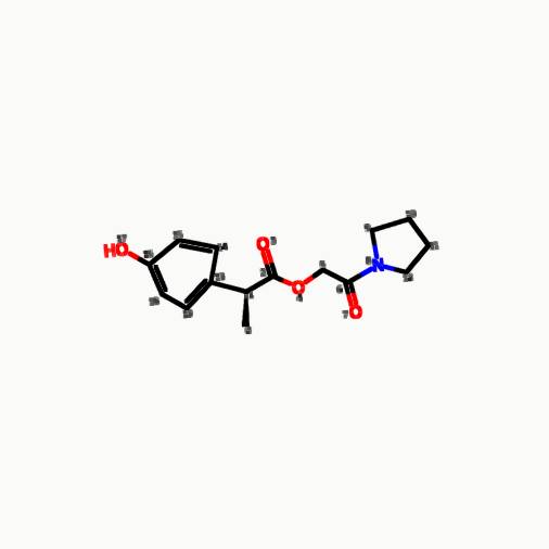 C[C@H](C(=O)OCC(=O)N1CCCC1)c1ccc(O)cc1